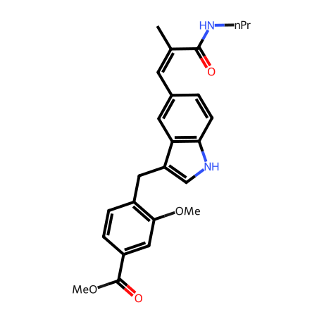 CCCNC(=O)C(C)=Cc1ccc2[nH]cc(Cc3ccc(C(=O)OC)cc3OC)c2c1